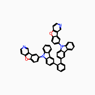 c1ccc(-c2ccc3c(c2)c2ccccc2n3-c2ccc3oc4ccncc4c3c2)c(-c2ccc3c(c2)c2ccccc2n3-c2ccc3oc4ccncc4c3c2)c1